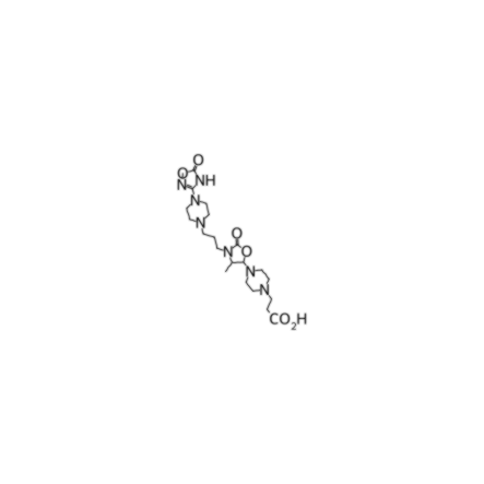 CC1C(N2CCN(CCC(=O)O)CC2)OC(=O)N1CCCN1CCN(c2noc(=O)[nH]2)CC1